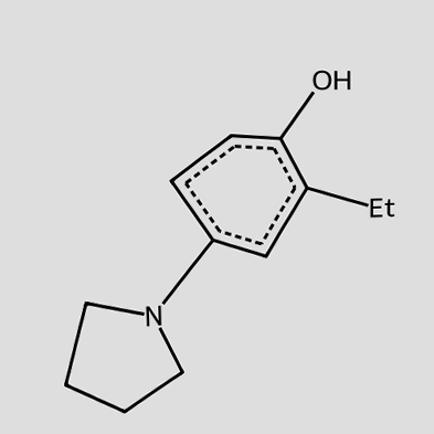 CCc1cc(N2CCCC2)ccc1O